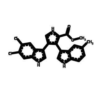 COC(=O)c1[nH]cc(-c2c[nH]c3cc(Cl)c(Cl)cc23)c1-c1c[nH]c2ccc(C)cc12